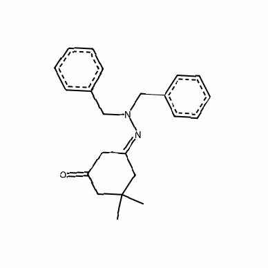 CC1(C)CC(=O)C/C(=N\N(Cc2ccccc2)Cc2ccccc2)C1